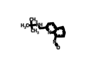 CC(C)(C)NCc1ccc2cccc(N=O)c2n1